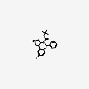 CC(C)(C)OC(=O)N(Cc1ccccc1)C1CNCC1c1cc(F)ccc1F